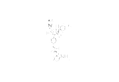 Nc1ccccc1NC(=O)/C=C/c1ccc(C(NCCN2CCOCC2)C(=O)Nc2ccc(C3CC3)cc2)cc1